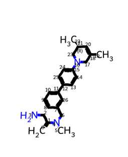 C=C(CN)N(C)Cc1cccc(-c2ccc(N3CC(C)=C[C@@H](C)C3)cc2)c1